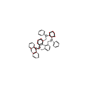 c1ccc(P(Cc2cccc(CP(c3ccccc3)c3ccccc3)c2-c2c(CP(c3ccccc3)c3ccccc3)cccc2CP(c2ccccc2)c2ccccc2)c2ccccc2)cc1